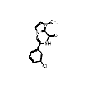 Cn1cc[n+]2cc(-c3cccc(Cl)c3)[nH]c(=O)c12